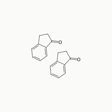 O=C1CCc2ccccc21.O=C1CCc2ccccc21